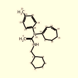 C=C(NCC1CCCCC1)N(C1=CC=CCCC1)c1ccc(C)cc1